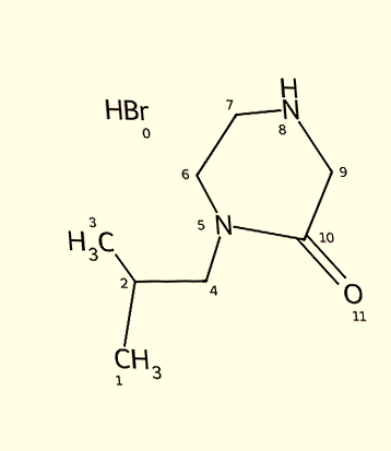 Br.CC(C)CN1CCNCC1=O